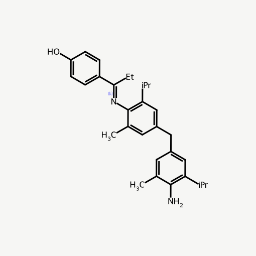 CC/C(=N\c1c(C)cc(Cc2cc(C)c(N)c(C(C)C)c2)cc1C(C)C)c1ccc(O)cc1